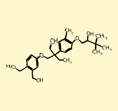 CCC(CC)(COc1ccc(CO)c(CO)c1)c1ccc(OCC(O)C(C)(C)C)c(C)c1